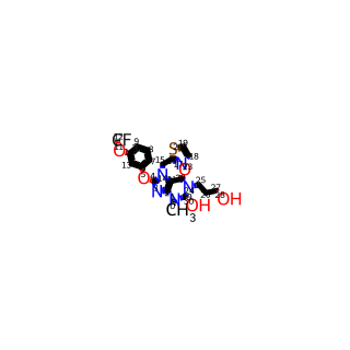 CN1c2nc(Oc3cccc(OC(F)(F)F)c3)n(Cc3nccs3)c2C(=O)N(CCCO)C1O